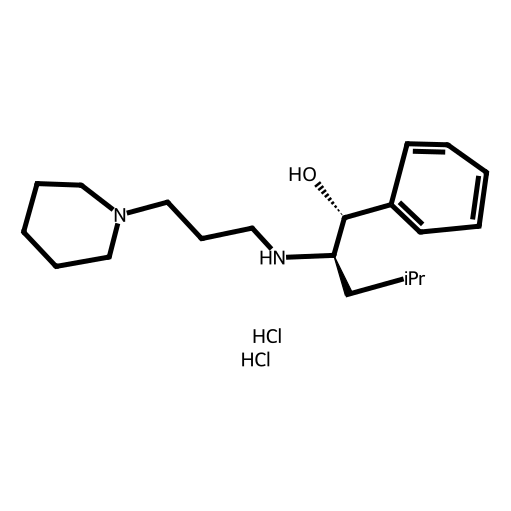 CC(C)C[C@@H](NCCCN1CCCCC1)[C@H](O)c1ccccc1.Cl.Cl